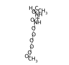 CC(=O)COCCOCCOCCOCCOCCNC(=O)C(F)CNC(=O)C(C)C